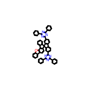 c1ccc(-c2nc(-c3ccccc3)nc(-c3ccc4c(c3)C3(c5cc(-c6nc(-c7ccccc7)nc(-c7ccccc7)n6)ccc5-4)c4ccccc4-c4c3ccc3c4oc4ccccc43)n2)cc1